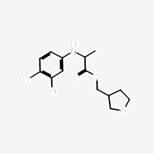 CC(Nc1ccc(Cl)c(Cl)c1)C(=O)OCC1CCOC1